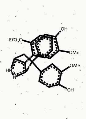 CCOC(=O)c1ccccc1-c1c2n[nH]c1CC2(c1ccc(O)c(OC)c1)c1ccc(O)c(OC)c1